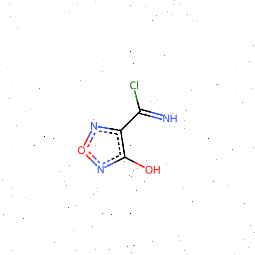 N=C(Cl)c1nonc1O